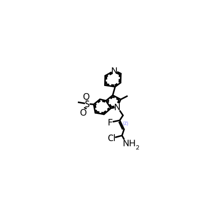 Cc1c(-c2ccncc2)c2cc(S(C)(=O)=O)ccc2n1C/C(F)=C/C(N)Cl